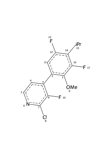 COc1c(-c2ccnc(Cl)c2F)cc(F)c(C(C)C)c1F